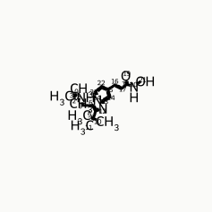 CC(C)(C)NCc1c(C(C)(C)C)nc2cc(C=CC(=O)NO)ccn12